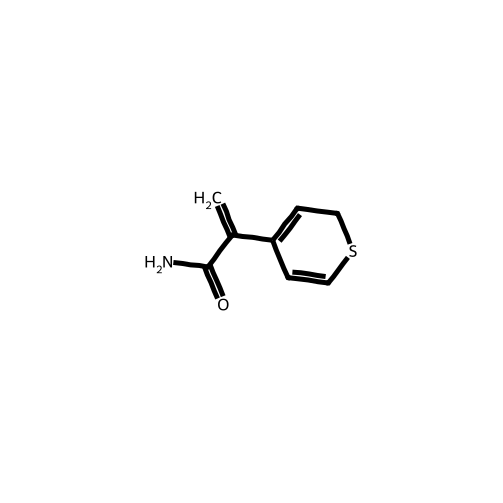 C=C(C(N)=O)C1=CCSC=C1